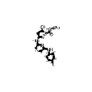 Cc1cc(Nc2cncc(Nc3ccc(Cl)cc3)n2)nn1C(=O)OC(C)(C)C